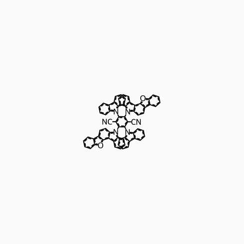 N#Cc1c(-n2c3ccccc3c3ccccc32)c(-n2c3ccccc3c3c4oc5ccccc5c4ccc32)c(C#N)c(-n2c3ccccc3c3ccccc32)c1-n1c2ccccc2c2c3oc4ccccc4c3ccc21